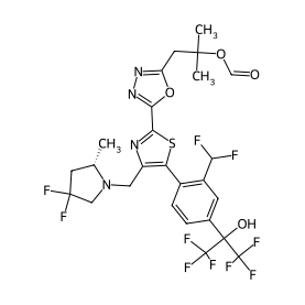 C[C@H]1CC(F)(F)CN1Cc1nc(-c2nnc(CC(C)(C)OC=O)o2)sc1-c1ccc(C(O)(C(F)(F)F)C(F)(F)F)cc1C(F)F